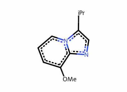 COc1cccn2c(C(C)C)cnc12